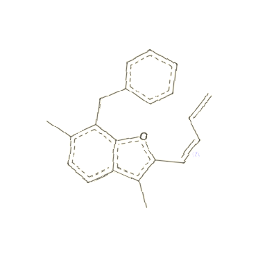 C=C/C=C\c1oc2c(Cc3ccccc3)c(C)ccc2c1C